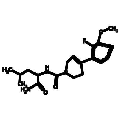 COc1cccc(C2=CCN(C(=O)NC(CC(C)C)C(N)=O)CC2)c1F